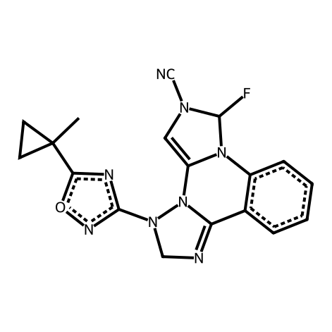 CC1(c2nc(N3CN=C4c5ccccc5N5C(=CN(C#N)C5F)N43)no2)CC1